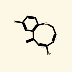 C=C1/C=C(Br)\C=C/COc2ccc(I)cc21